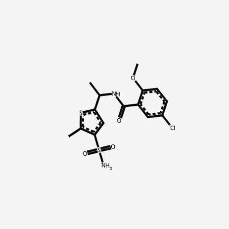 COc1ccc(Cl)cc1C(=O)NC(C)c1cc(S(N)(=O)=O)c(C)s1